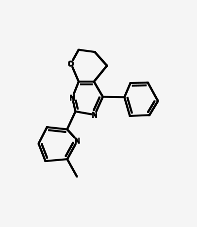 Cc1cccc(-c2nc3c(c(-c4ccccc4)n2)CCCO3)n1